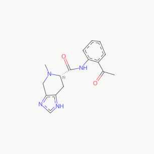 CC(=O)c1ccccc1NC(=O)[C@@H]1Cc2[nH]cnc2CN1C